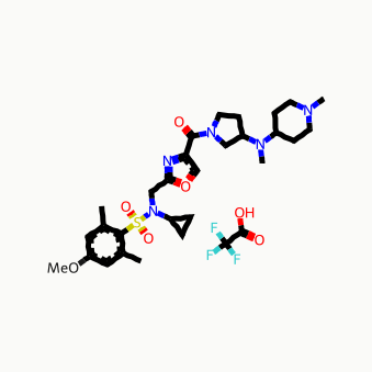 COc1cc(C)c(S(=O)(=O)N(Cc2nc(C(=O)N3CCC(N(C)C4CCN(C)CC4)C3)co2)C2CC2)c(C)c1.O=C(O)C(F)(F)F